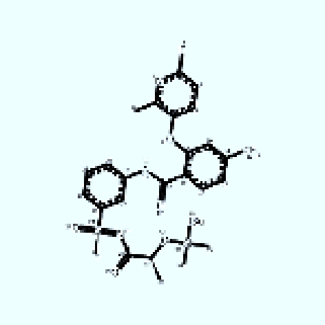 Cc1nc(F)ccc1Oc1cc(C(F)(F)F)ccc1C(=O)Nc1cccc([S@@](C)(=O)=NC(=O)[C@H](C)O[Si](C)(C)C(C)(C)C)c1